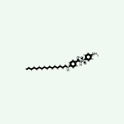 CCCCCCCCCCCCCCCCNc1ccc(C(=O)NS(=O)(=O)c2ccc(N)cc2)cc1